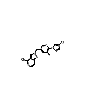 Cc1cc(Cn2cc3c(Cl)nccc3n2)cnc1-n1cc(Cl)cn1